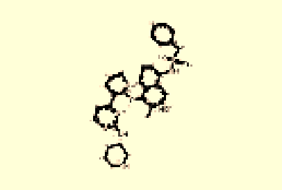 Cc1ccc2c(NS(=O)(=O)Cc3ccccc3)cccc2c1Oc1ncccc1-c1ccnc(N[C@H]2CCCNC2)n1.Cl